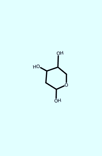 OC1CC(O)C(O)CO1